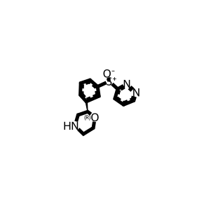 [O-][S+](c1cccc([C@@H]2CNCCO2)c1)c1cccnn1